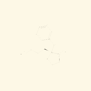 O=CCCC[C@]1(Cc2ccccc2)CCCN1C(=O)O